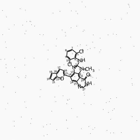 Cn1c(Nc2c(Cl)cccc2Cl)nc2c(-c3ccc4cccc-4o3)cc3nc[nH]c(=O)c3c21